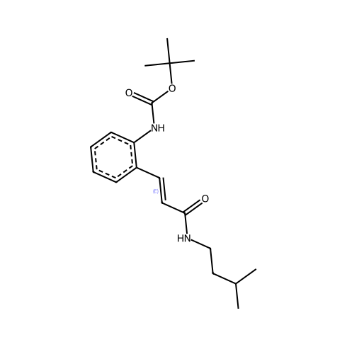 CC(C)CCNC(=O)/C=C/c1ccccc1NC(=O)OC(C)(C)C